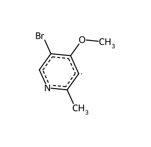 COc1[c]c(C)ncc1Br